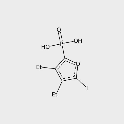 CCc1c(I)oc(P(=O)(O)O)c1CC